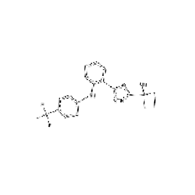 OC1(c2nnc(-c3ccccc3Nc3ccc(C(F)(F)F)cc3)o2)CCC1